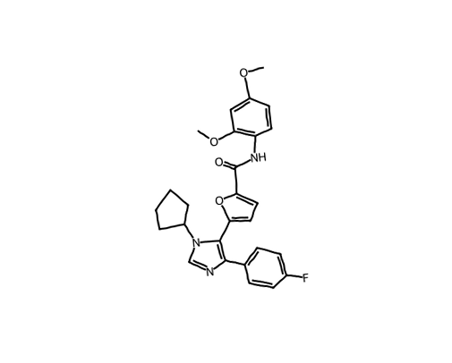 COc1ccc(NC(=O)c2ccc(-c3c(-c4ccc(F)cc4)ncn3C3CCCC3)o2)c(OC)c1